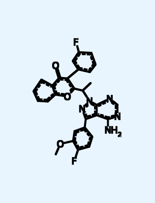 COc1cc(-c2nn(C(C)c3oc4ccccc4c(=O)c3-c3cccc(F)c3)c3ncnc(N)c23)ccc1F